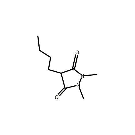 CCCCC1C(=O)N(C)N(C)C1=O